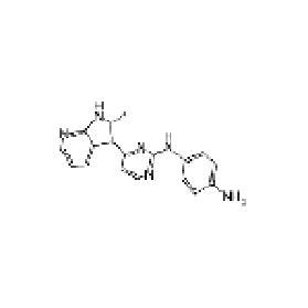 CC1Nc2ncccc2C1c1ccnc(Nc2ccc(N)cc2)n1